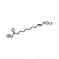 CCCCCCCC/C=C/CCCCCCCC(=O)C(C)(C)C